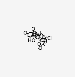 COC(=O)C(C)C(=O)O[C@]1(C(=O)CCl)[C@@H](C)C[C@H]2[C@@H]3CC(=O)C4=CC(=O)C=C[C@]4(C)[C@@]3(F)[C@@H](O)C[C@@]21C